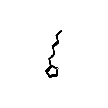 CCC=CCCc1ccco1